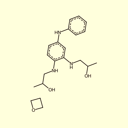 C1COC1.CC(O)CNc1ccc(Nc2ccccc2)cc1NCC(C)O